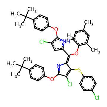 Cc1cc(C)c(O/C(=C2/N=C(Oc3ccc(C(C)(C)C)cc3)C(Cl)=C2Sc2ccc(Cl)cc2)c2cc(Cl)c(Oc3ccc(C(C)(C)C)cc3)[nH]2)c(C)c1